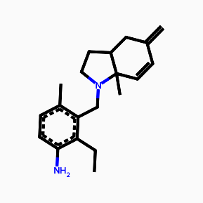 C=C1C=CC2(C)C(CCN2Cc2c(C)ccc(N)c2CC)C1